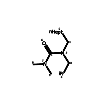 CCCCCCCCN(CC(C)C)C(=O)N(C)C